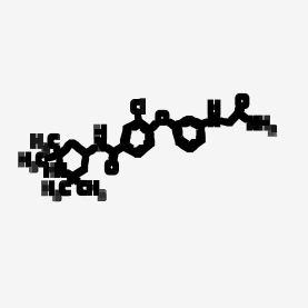 CC1(C)CC(NC(=O)c2ccc(Oc3cccc(NCC(N)=O)c3)c(Cl)c2)CC(C)(C)N1